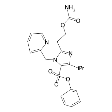 CC(C)c1nc(CCOC(N)=O)n(Cc2ccccn2)c1S(=O)(=O)Oc1ccccc1